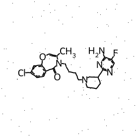 CC1=COc2cc(Cl)ccc2C(=O)N1CCCCN1CCCC(c2ncc(F)c(N)n2)C1